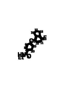 CCNC(=O)c1ccc(Oc2ccc(F)c3c2CCC3)cc1